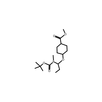 CCC(OC1CCC(C(=O)OC)CC1)N(C)C(=O)OC(C)(C)C